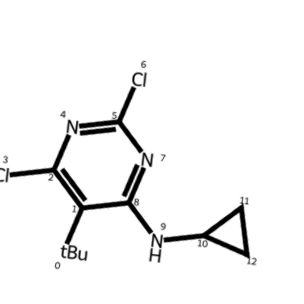 CC(C)(C)c1c(Cl)nc(Cl)nc1NC1CC1